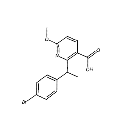 COc1ccc(C(=O)O)c(C(C)c2ccc(Br)cc2)n1